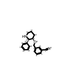 N#Cc1cccc(CO[C@@H]2CCCN[C@@H]2c2ccccc2)c1